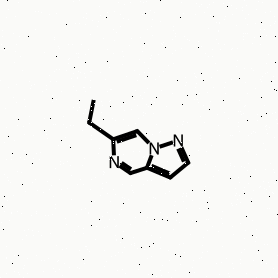 CCc1cn2nccc2cn1